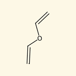 [CH]=COC=C